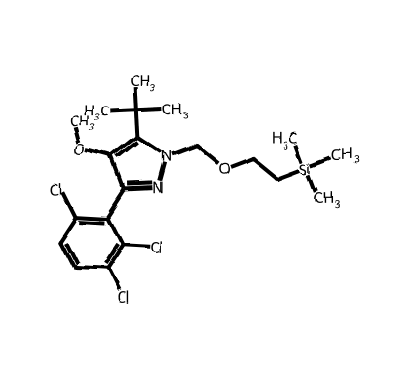 COc1c(-c2c(Cl)ccc(Cl)c2Cl)nn(COCC[Si](C)(C)C)c1C(C)(C)C